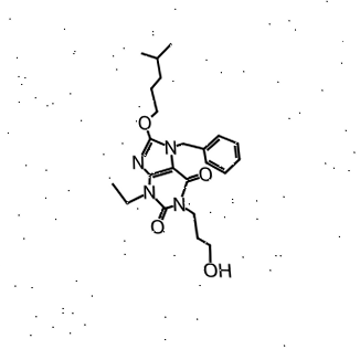 CCn1c(=O)n(CCCO)c(=O)c2c1nc(OCCCC(C)C)n2Cc1ccccc1